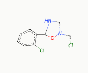 ClCN1CNC(c2ccccc2Cl)O1